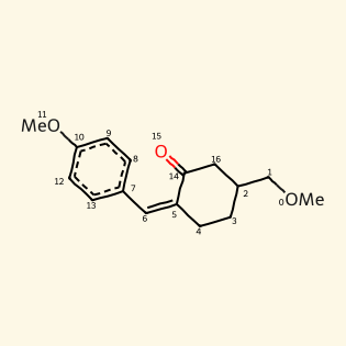 COCC1CCC(=Cc2ccc(OC)cc2)C(=O)C1